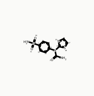 NC(=O)N(c1ccc(S(N)(=O)=O)cc1)c1nccs1